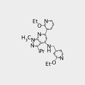 CCOc1cc(CNc2cc(-c3cccnc3OCC)nc3c2c(C(C)C)nn3C)ccn1